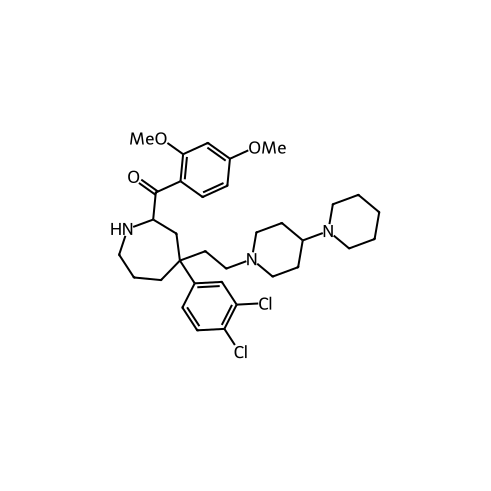 COc1ccc(C(=O)C2CC(CCN3CCC(N4CCCCC4)CC3)(c3ccc(Cl)c(Cl)c3)CCCN2)c(OC)c1